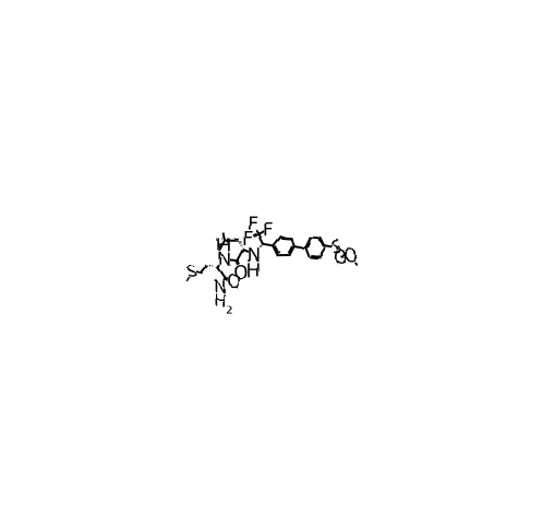 COOSc1ccc(-c2ccc([C@H](N[C@@H](CC(C)C)C(=O)N[C@@H](CCSC)C(N)=O)C(F)(F)F)cc2)cc1